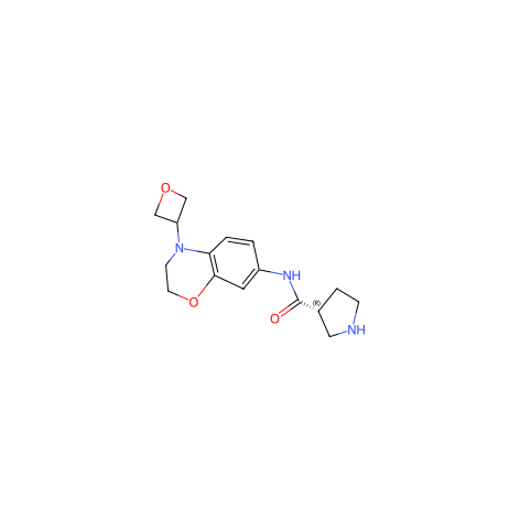 O=C(Nc1ccc2c(c1)OCCN2C1COC1)[C@@H]1CCNC1